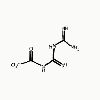 N=C(N)NC(=N)NC(=O)C(Cl)(Cl)Cl